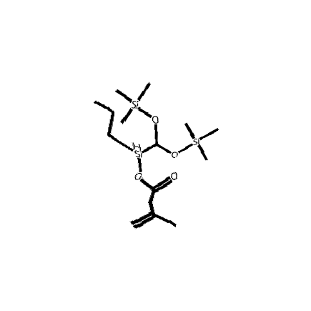 C=C(C)C(=O)O[SiH](CCC)C(O[Si](C)(C)C)O[Si](C)(C)C